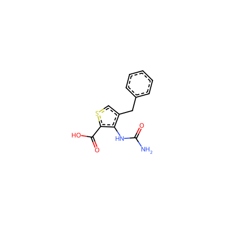 NC(=O)Nc1c(Cc2ccccc2)csc1C(=O)O